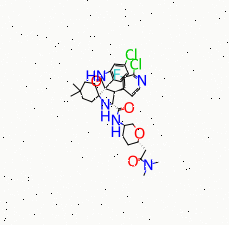 CN(C)C(=O)C[C@@H]1CC[C@@H](NC(=O)[C@@H]2NC3(CCC(C)(C)CC3)[C@@]3(C(=O)Nc4cc(Cl)ccc43)[C@H]2c2ccnc(Cl)c2F)CO1